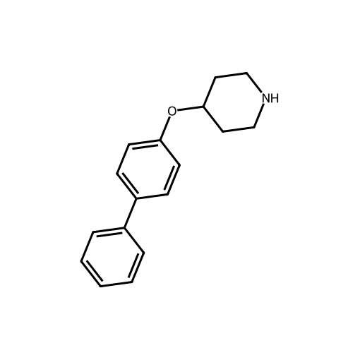 c1ccc(-c2ccc(OC3CCNCC3)cc2)cc1